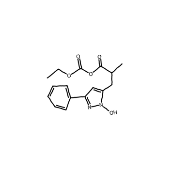 CCOC(=O)OC(=O)C(C)Cc1cc(-c2ccccc2)nn1O